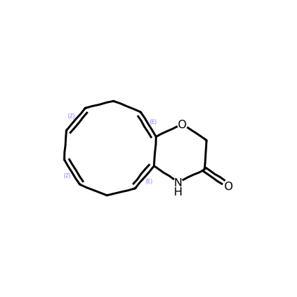 O=C1COC2=C/C/C=C\C=C/C/C=C\2N1